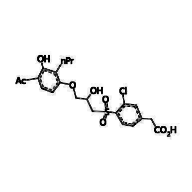 CCCc1c(OCC(O)CS(=O)(=O)c2ccc(CC(=O)O)cc2Cl)ccc(C(C)=O)c1O